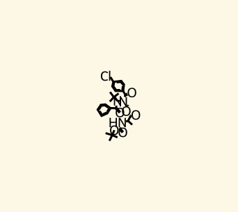 CC(NC(=O)OC(C)(C)C)C(=O)OCN(C(=O)c1ccc(Cl)cc1)N(C(=O)c1ccccc1)C(C)(C)C